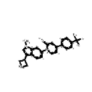 Cn1cc(C2CNC2)c2ccc(-n3ccc(-c4ccc(C(F)(F)F)cc4)cc3=O)cc21